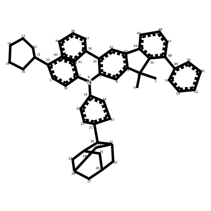 CC1(C)c2cc(N(c3ccc(C4CCCCC4)cc3)c3ccc(C4C5CC6CC(C5)CC4C6)cc3)c(-c3ccccc3)cc2-c2cccc(-c3ccccc3)c21